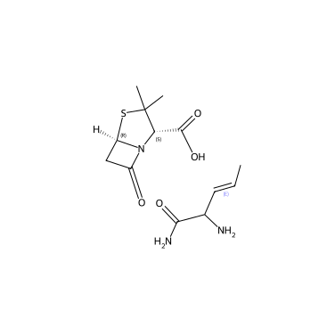 C/C=C/C(N)C(N)=O.CC1(C)S[C@@H]2CC(=O)N2[C@H]1C(=O)O